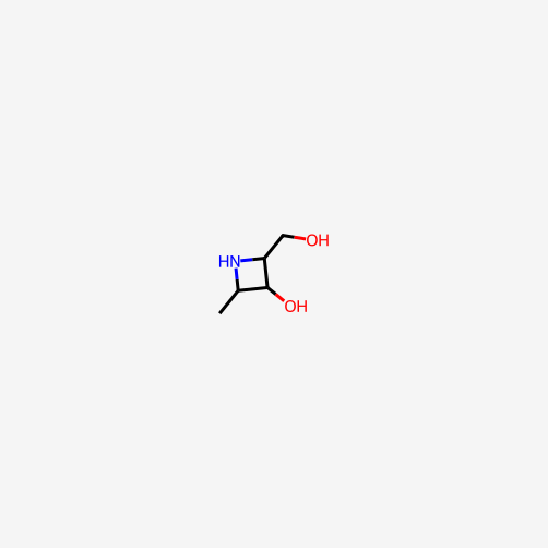 CC1NC(CO)C1O